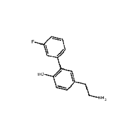 NCCc1ccc(O)c(-c2cccc(F)c2)c1